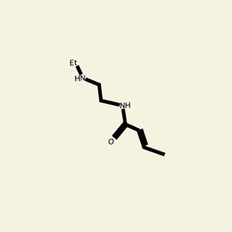 C/C=C/C(=O)NCCNCC